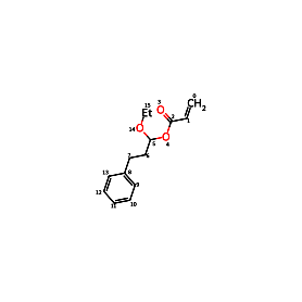 C=CC(=O)OC(CCc1ccccc1)OCC